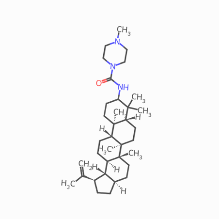 C=C(C)[C@@H]1CC[C@@H]2CC[C@]3(C)[C@H](CC[C@@H]4[C@@]5(C)CCC(NC(=O)N6CCN(C)CC6)C(C)(C)[C@@H]5CC[C@]43C)[C@H]21